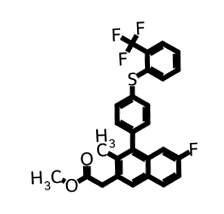 COC(=O)Cc1cc2ccc(F)cc2c(-c2ccc(Sc3ccccc3C(F)(F)F)cc2)c1C